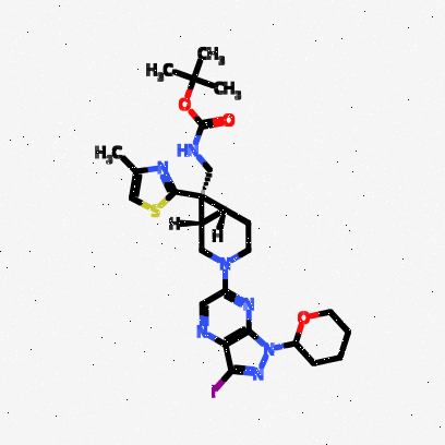 Cc1csc([C@@]2(CNC(=O)OC(C)(C)C)[C@@H]3CCN(c4cnc5c(I)nn(C6CCCCO6)c5n4)C[C@@H]32)n1